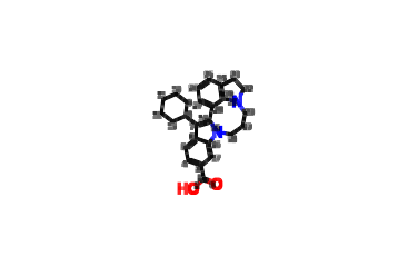 O=C(O)c1ccc2c(C3CCCCC3)c3n(c2c1)CCCN1CCc2cccc-3c21